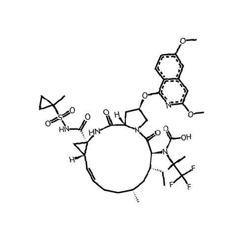 CC[C@@H]1C[C@H](C)CCC=C[C@@H]2C[C@@]2(C(=O)NS(=O)(=O)C2(C)CC2)NC(=O)[C@@H]2C[C@@H](Oc3nc(OC)cc4cc(OC)ccc34)CN2C(=O)[C@H]1N(C(=O)O)C(C)(C)C(F)(F)F